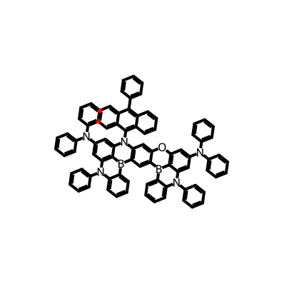 c1ccc(-c2c3ccccc3c(N3c4cc5c(cc4B4c6ccccc6N(c6ccccc6)c6cc(N(c7ccccc7)c7ccccc7)cc3c64)B3c4ccccc4N(c4ccccc4)c4cc(N(c6ccccc6)c6ccccc6)cc(c43)O5)c3ccccc23)cc1